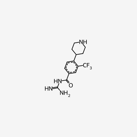 N=C(N)NC(=O)c1ccc(C2CCNCC2)c(C(F)(F)F)c1